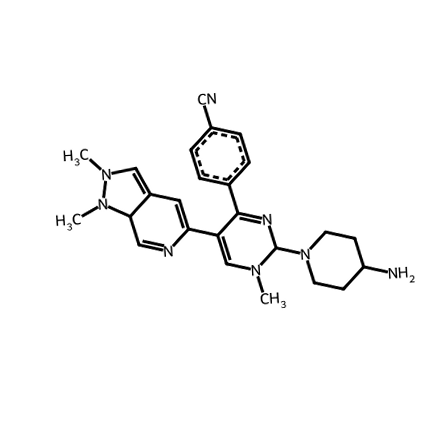 CN1C=C(C2=CC3=CN(C)N(C)C3C=N2)C(c2ccc(C#N)cc2)=NC1N1CCC(N)CC1